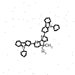 CC1(C)c2ccc(-c3ccc4c5ccccc5n(-c5ccccc5)c4c3)nc2-c2nc(-c3ccc4c5ccccc5n(-c5ccccc5)c4c3)ccc21